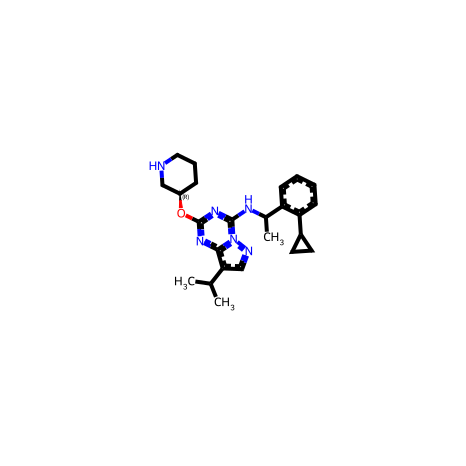 CC(C)c1cnn2c(NC(C)c3ccccc3C3CC3)nc(O[C@@H]3CCCNC3)nc12